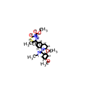 CCN=C(c1ccc(OC)cc1OC)N1CCCc2cc(C3=NN(C(=O)OC)C(=O)SC3(C)C)ccc21